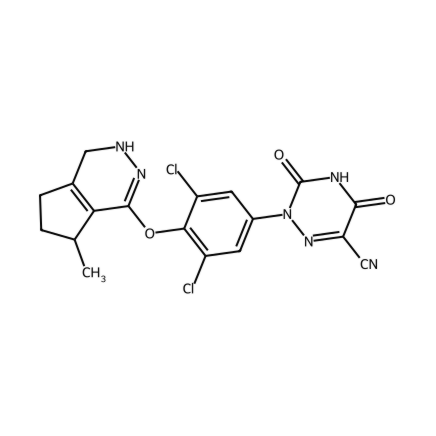 CC1CCC2=C1C(Oc1c(Cl)cc(-n3nc(C#N)c(=O)[nH]c3=O)cc1Cl)=NNC2